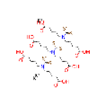 O=C(O)CCCCN(CCCCC(=O)O)C(=S)[S-].O=C(O)CCCCN(CCCCC(=O)O)C(=S)[S-].O=C(O)CCCCN(CCCCC(=O)O)C(=S)[S-].[K+].[K+].[K+]